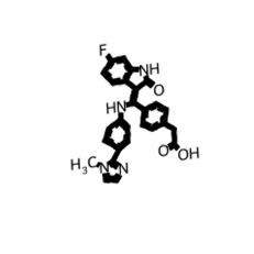 Cn1ccnc1-c1ccc(NC(=C2C(=O)Nc3cc(F)ccc32)c2ccc(CC(=O)O)cc2)cc1